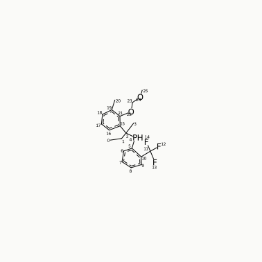 CCC(C)(Pc1ccccc1C(F)(F)F)c1cccc(C)c1OCOC